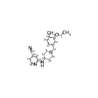 CCOc1cc(CN2CCC(Nc3cc(C#N)ccn3)CC2)ccc1C